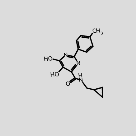 Cc1ccc(-c2nc(O)c(O)c(C(=O)NCC3CC3)n2)cc1